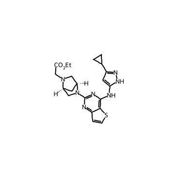 CCOC(=O)CN1C[C@@H]2C[C@H]1CN2c1nc(Nc2cc(C3CC3)n[nH]2)c2sccc2n1